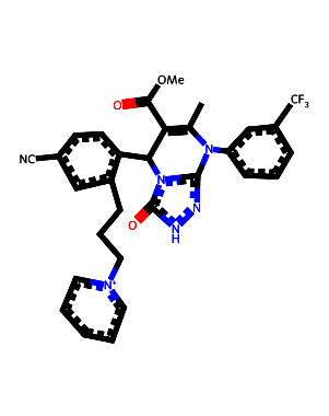 COC(=O)C1=C(C)N(c2cccc(C(F)(F)F)c2)c2n[nH]c(=O)n2C1c1ccc(C#N)cc1CCC[n+]1ccccc1